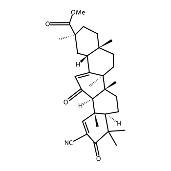 COC(=O)[C@@]1(C)CC[C@]2(C)CC[C@]3(C)C(=CC(=O)[C@@H]4[C@@]5(C)C=C(C#N)C(=O)C(C)(C)[C@@H]5CC[C@]43C)[C@@H]2C1